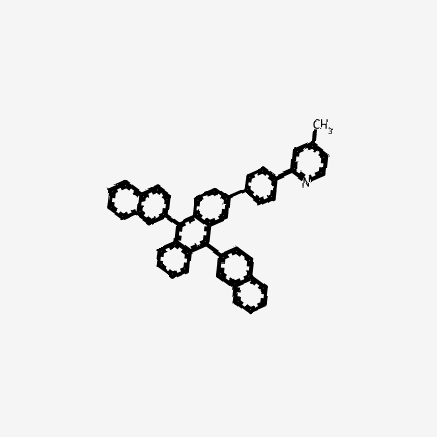 Cc1ccnc(-c2ccc(-c3ccc4c(-c5ccc6ccccc6c5)c5ccccc5c(-c5ccc6ccccc6c5)c4c3)cc2)c1